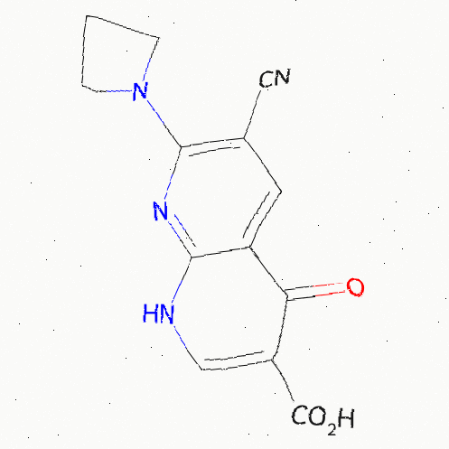 N#Cc1cc2c(=O)c(C(=O)O)c[nH]c2nc1N1CCC1